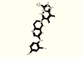 Cc1c(N2CCc3ncc(Oc4ccc(F)cc4F)cc3C2)nn2c(C(F)(F)F)nnc2c1C